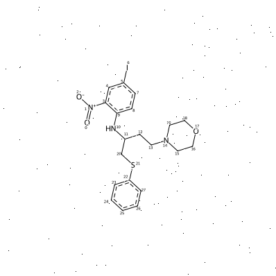 O=[N+]([O-])c1cc(I)ccc1NC(CCN1CCOCC1)CSc1ccccc1